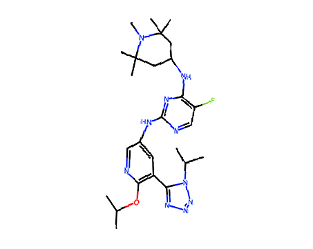 CC(C)Oc1ncc(Nc2ncc(F)c(NC3CC(C)(C)N(C)C(C)(C)C3)n2)cc1-c1nnnn1C(C)C